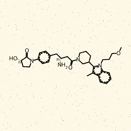 COCCCn1c(C2CCCN(C(=O)C[C@H](N)Cc3ccc(N4CC[C@H](O)C4=O)cc3)C2)c(C)c2ccccc21